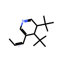 C/C=C\C1=CN=CC(C(C)(C)C)C1C(C)(C)C